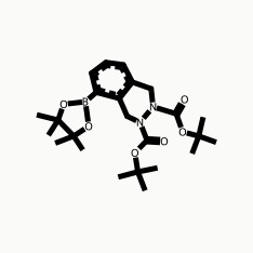 CC(C)(C)OC(=O)N1Cc2cccc(B3OC(C)(C)C(C)(C)O3)c2CN1C(=O)OC(C)(C)C